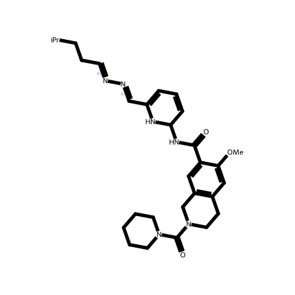 COc1cc2c(cc1C(=O)NC1C=CC=C(/C=N/N=C/CCC(C)C)N1)CN(C(=O)N1CCCCC1)CC2